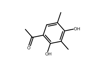 CC(=O)c1cc(C)c(O)c(C)c1O